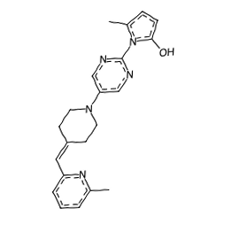 Cc1cccc(C=C2CCN(c3cnc(-n4c(C)ccc4O)nc3)CC2)n1